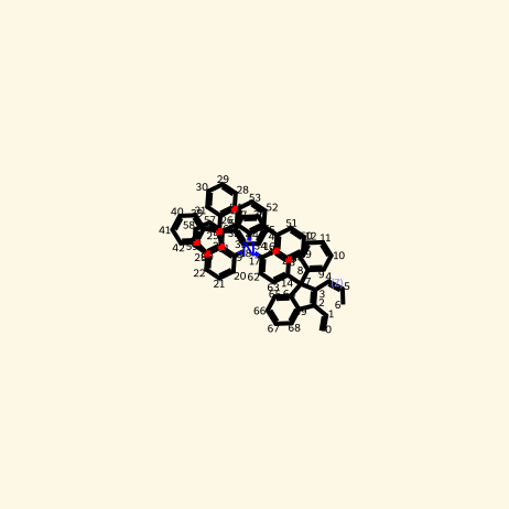 C=CC1=C(/C=C\C)C(c2ccccc2)(c2ccc(N(c3cccc4c3C(c3ccccc3)(c3ccccc3)c3ccccc3-4)c3c(-c4ccccc4)cccc3-c3ccccc3)cc2)c2ccccc21